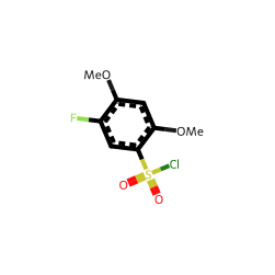 COc1cc(OC)c(S(=O)(=O)Cl)cc1F